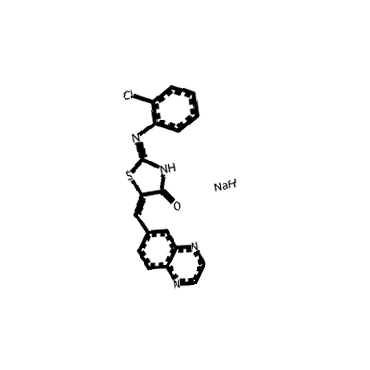 O=C1NC(=Nc2ccccc2Cl)SC1=Cc1ccc2nccnc2c1.[NaH]